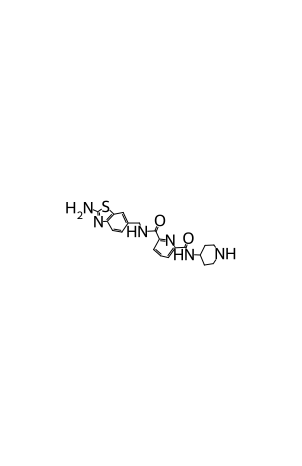 Nc1nc2ccc(CNC(=O)c3cccc(C(=O)NC4CCNCC4)n3)cc2s1